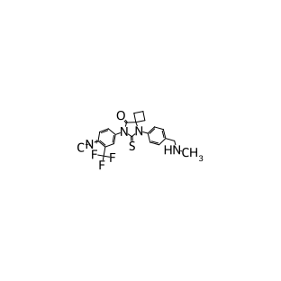 [C-]#[N+]c1ccc(N2C(=O)C3(CCC3)N(c3ccc(CNC)cc3)C2=S)cc1C(F)(F)F